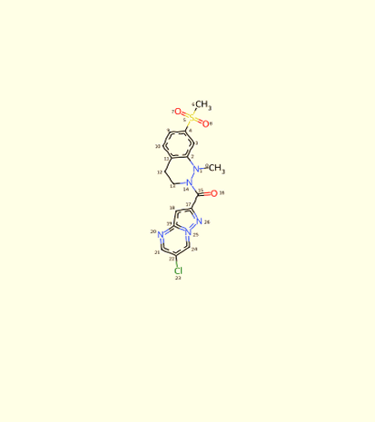 CN1c2cc(S(C)(=O)=O)ccc2CCN1C(=O)c1cc2ncc(Cl)cn2n1